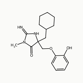 CN1C(=N)NC(COc2ccccc2O)(CC2CCCCC2)C1=O